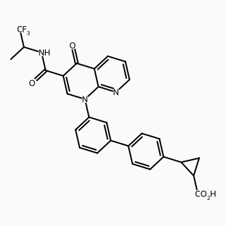 CC(NC(=O)c1cn(-c2cccc(-c3ccc(C4CC4C(=O)O)cc3)c2)c2ncccc2c1=O)C(F)(F)F